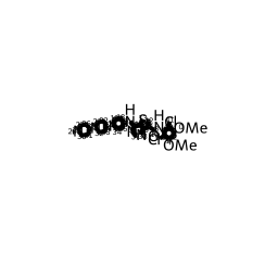 COc1cc(OC)c(Cl)c(NC(=O)c2csc3c(Nc4ccc(N5CCN(C6CCN(C)CC6)CC5)cc4)ncnc23)c1Cl